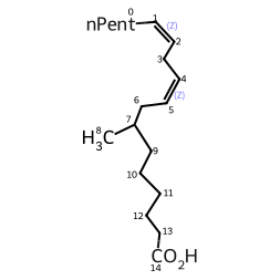 CCCCC/C=C\C/C=C\CC(C)CCCCCC(=O)O